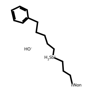 CCCCCCCCCCC[CH2][SbH2+][CH2]CCCCc1ccccc1.[OH-]